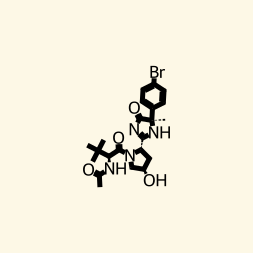 CC(=O)N[C@H](C(=O)N1C[C@H](O)C[C@H]1C1=NC(=O)[C@@](C)(c2ccc(Br)cc2)N1)C(C)(C)C